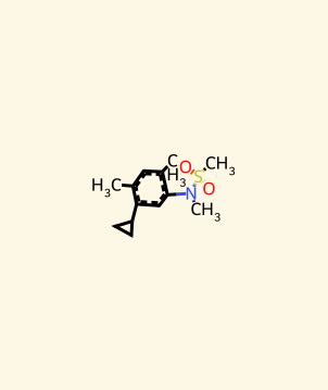 Cc1cc(C)c(N(C)S(C)(=O)=O)cc1C1CC1